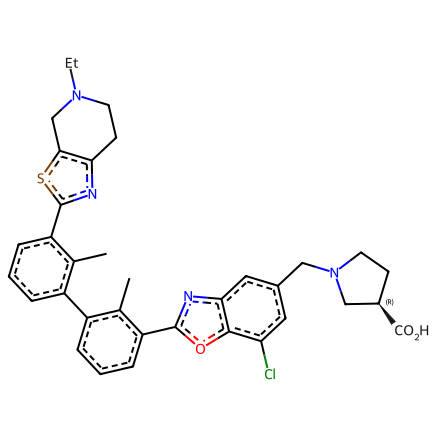 CCN1CCc2nc(-c3cccc(-c4cccc(-c5nc6cc(CN7CC[C@@H](C(=O)O)C7)cc(Cl)c6o5)c4C)c3C)sc2C1